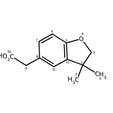 CC1(C)COc2ccc(CC(=O)O)cc21